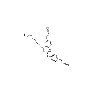 CCCCCCCCCC(Oc1ccc(CCC#N)cc1)Oc1ccc(CCC#N)cc1